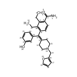 CCc1c(C(N)=O)ccc(C(=C2CCN(Cc3ccco3)CC2)c2cccc(O)c2)c1CC